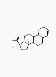 CCCC[C@]1(C(N)=O)CC[C@H]2[C@@H]3CC=C4C=CCC[C@]4(C)[C@H]3CC[C@@]21C